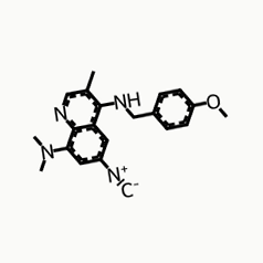 [C-]#[N+]c1cc(N(C)C)c2ncc(C)c(NCc3ccc(OC)cc3)c2c1